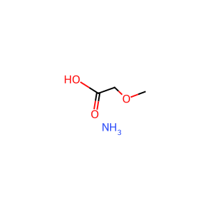 COCC(=O)O.N